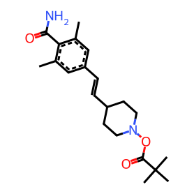 Cc1cc(/C=C/C2CCN(OC(=O)C(C)(C)C)CC2)cc(C)c1C(N)=O